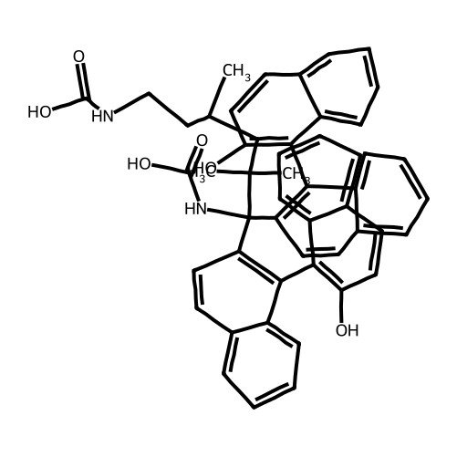 CC(CCNC(=O)O)CC(C)(C)C(NC(=O)O)(c1ccc2ccccc2c1-c1c(O)ccc2ccccc12)c1ccc2ccccc2c1-c1c(O)ccc2ccccc12